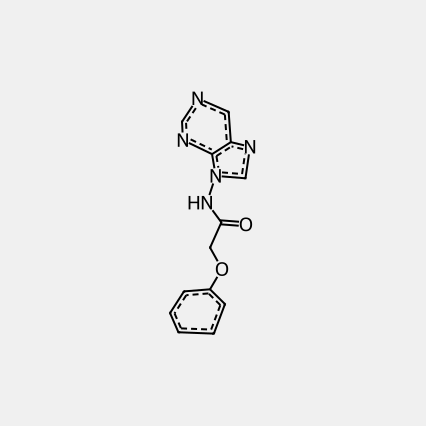 O=C(COc1ccccc1)Nn1cnc2cncnc21